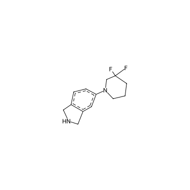 FC1(F)CCCN(c2ccc3c(c2)CNC3)C1